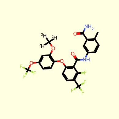 [2H]C([2H])([2H])Oc1cc(OC(F)(F)F)ccc1Oc1ccc(C(F)(F)F)c(F)c1C(=O)Nc1ccc(C)c(C(N)=O)c1